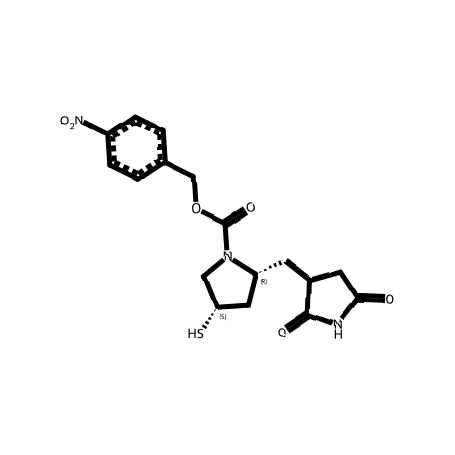 O=C1CC(C[C@@H]2C[C@H](S)CN2C(=O)OCc2ccc([N+](=O)[O-])cc2)C(=O)N1